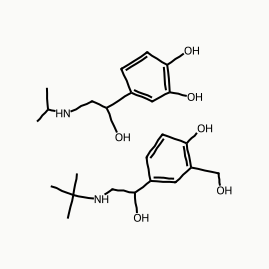 CC(C)(C)NCC(O)c1ccc(O)c(CO)c1.CC(C)NCC(O)c1ccc(O)c(O)c1